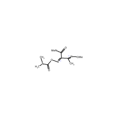 CNC(=O)C(=N\OC(=O)N(C)C)/C(C)=N/OC